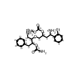 CCc1ccccc1C(N)CC(COC(CN)C(Cc1ccccc1)OC(N)=O)OC(=O)OC(C)(C)C